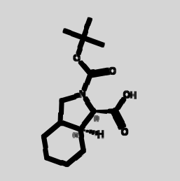 CC(C)(C)OC(=O)N1CC2CCCC[C@@H]2[C@@H]1C(=O)O